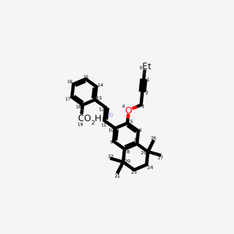 CCC#CCOc1cc2c(cc1/C=C/c1ccccc1C(=O)O)C(C)(C)CCC2(C)C